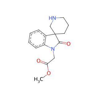 COC(=O)CN1C(=O)C2(CCCNC2)c2ccccc21